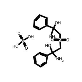 NC(O)(CS(=O)(=O)CC(N)(O)c1ccccc1)c1ccccc1.O=S(=O)(O)O